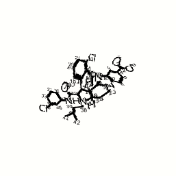 COC(=O)c1ccc2c(c1)nc1n2CC[C@H]2[C@@H]1[C@H](c1cccc(Cl)c1F)[C@H](C(=O)Nc1cccc(Cl)c1)N2CC=C(C)C